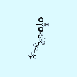 C#CC(O)(c1ccccc1)c1ccc(N2CCN(C(=O)CCC(=O)OCCOC(=O)C(=C)C)C(C)C2)cc1